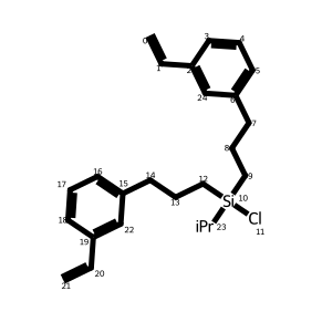 C=Cc1cccc(CCC[Si](Cl)(CCCc2cccc(C=C)c2)C(C)C)c1